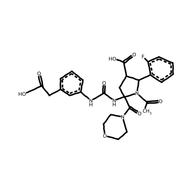 CC(=O)N1C(c2ccccc2F)C(C(=O)O)CC1(NC(=O)Nc1cccc(CC(=O)O)c1)C(=O)N1CCOCC1